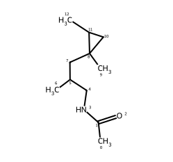 CC(=O)NCC(C)CC1(C)CC1C